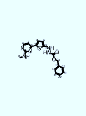 CNc1nccc(-c2ccc(NNC(=O)OCc3ccccc3)s2)n1